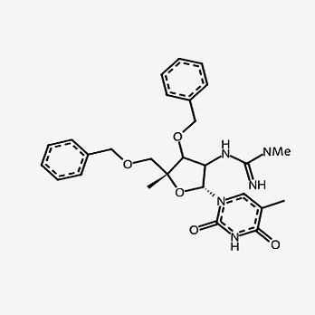 CNC(=N)NC1C(OCc2ccccc2)[C@@](C)(COCc2ccccc2)O[C@H]1n1cc(C)c(=O)[nH]c1=O